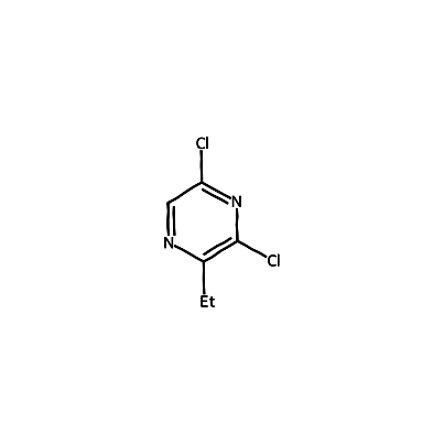 CCc1ncc(Cl)nc1Cl